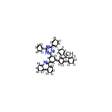 CC1(c2ccccc2)c2ccccc2-c2ccc(-c3cc(-c4nc(-c5ccccc5)nc(-c5ccccc5)n4)cc(-c4nc5ccccc5c5ccccc45)c3)cc21